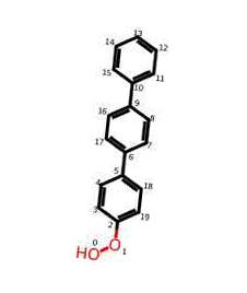 OOc1ccc(-c2ccc(-c3ccccc3)cc2)cc1